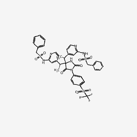 CC(c1ccnc(NS(=O)(=O)Cc2ccccc2)c1)C1(C(C)c2ccnc(NS(=O)(=O)Cc3ccccc3)c2)NC(=O)N(c2ccc(S(=O)(=O)C(F)(F)F)cc2)C1=O